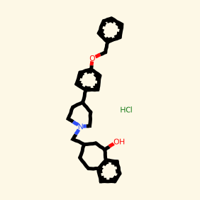 Cl.OC1CC(CN2CCC(c3ccc(OCc4ccccc4)cc3)CC2)CCc2ccccc21